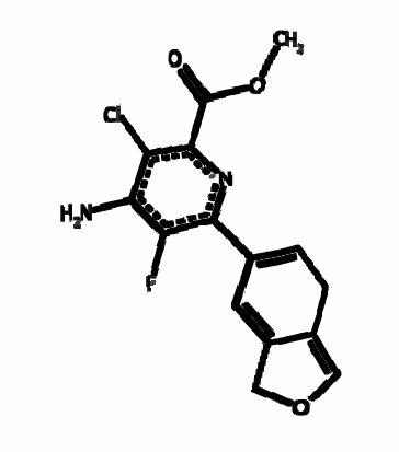 COC(=O)c1nc(C2=CCC3=COCC3=C2)c(F)c(N)c1Cl